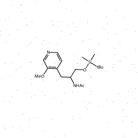 COc1cnccc1CC(CO[Si](C)(C)C(C)(C)C)NC(C)=O